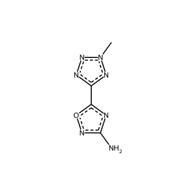 Cn1nnc(-c2nc(N)no2)n1